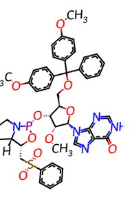 COc1ccc(C(OC[C@H]2O[C@@H](n3cnc4c(=O)[nH]cnc43)[C@H](OC)[C@@H]2OP2O[C@H](CS(=O)(=O)c3ccccc3)[C@@H]3CCCN32)(c2ccccc2)c2ccc(OC)cc2)cc1